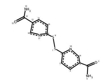 NC(=O)c1ccc(SSc2ccc(C(N)=O)cn2)nc1